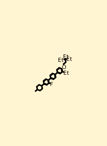 CCc1cc(-c2ccc(-c3ccc(C4CCC(C)CC4)cc3F)cc2)ccc1OCCC(CC)(CC)CC